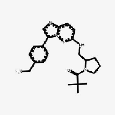 CC(C)(C)C(=O)N1CCCC1CNc1ccc2ncc(-c3ccc(CN)cc3)n2n1